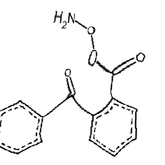 NOOC(=O)c1ccccc1C(=O)c1ccccc1